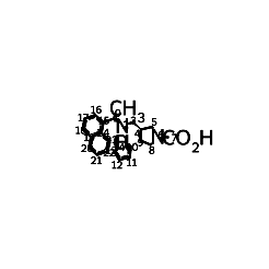 C[C@@H](NC[C@H]1CN(C(=O)O)C[C@@H]1c1ccco1)c1cccc2ccccc12